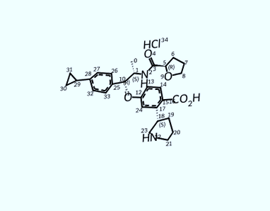 C[C@H](NC(=O)[C@H]1CCCO1)[C@H](Oc1ccc(C(=O)O)c([C@@H]2CCCNC2)c1)c1ccc(C2CC2)cc1.Cl